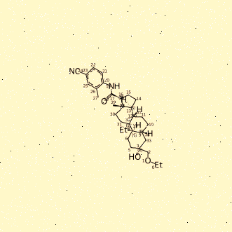 CCOC[C@@]1(O)CC[C@@]2(CC)[C@H](CC[C@H]3[C@@H]4CC[C@H](C(=O)Nc5ccc(C#N)cc5C)[C@@]4(C)CC[C@@H]32)C1